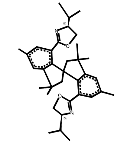 Cc1cc(C2=N[C@@H](C(C)C)CO2)c2c(c1)C(C)(C)CC21CC(C)(C)c2cc(C)cc(C3=N[C@@H](C(C)C)CO3)c21